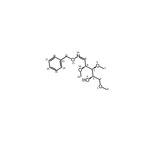 COC[C@@H](O)[C@H](OC)[C@H](/C=N\OCc1ccccc1)OC